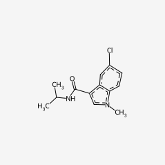 CC(C)NC(=O)c1cn(C)c2ccc(Cl)cc12